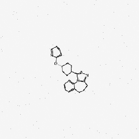 c1ccc(O[C@H]2CC[C@H](c3nnc4n3-c3ccccc3CCC4)CC2)nc1